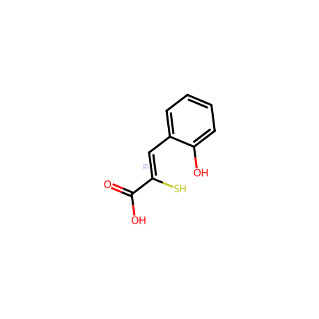 O=C(O)/C(S)=C/c1ccccc1O